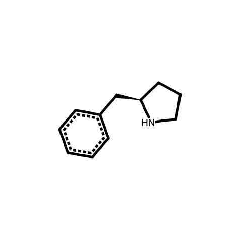 c1ccc(C[C@H]2CCCN2)cc1